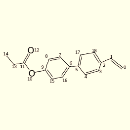 C=Cc1ccc(-c2ccc(OC(=O)CC)cc2)cc1